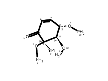 CCC[C@]1(OP)C(=O)C=C[C@H](OP)[C@H]1OP